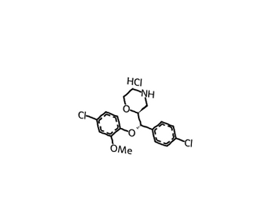 COc1cc(Cl)ccc1O[C@@H](c1ccc(Cl)cc1)[C@@H]1CNCCO1.Cl